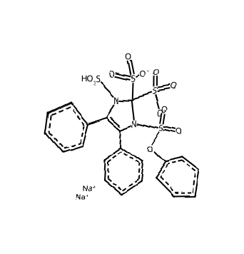 O=S(=O)(O)N1C(c2ccccc2)=C(c2ccccc2)N(S(=O)(=O)Oc2ccccc2)C1(S(=O)(=O)[O-])S(=O)(=O)[O-].[Na+].[Na+]